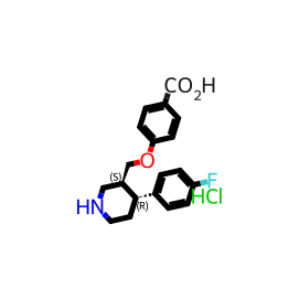 Cl.O=C(O)c1ccc(OC[C@@H]2CNCC[C@H]2c2ccc(F)cc2)cc1